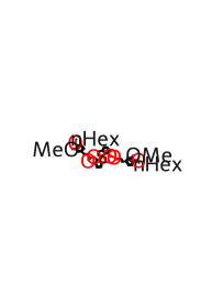 CCCCCCOc1ccc(/C=C/COOc2cccc3c2C2(CC3)CCc3cccc(OC(=O)/C=C/c4ccc(OCCCCCC)c(OC)c4)c32)cc1OC